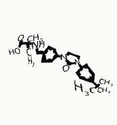 CC(C)(NCc1ccc(N2CCN(c3ccc(C(C)(C)C)cc3)C2=O)cc1)C(=O)O